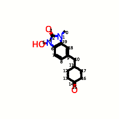 Cn1c(=O)n(O)c2ccc(CC3CCC(=O)CC3)cc21